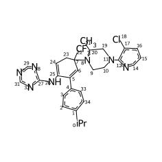 CC(C)c1ccc(C2=CC(N3CCN(c4ncccc4Cl)CC3C)(C(F)(F)F)CC=C2Nc2ncncn2)cc1